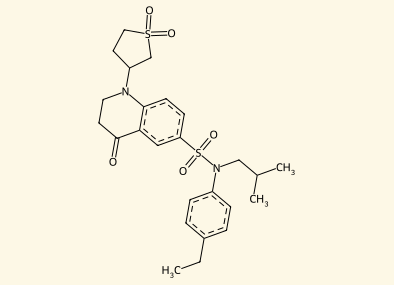 CCc1ccc(N(CC(C)C)S(=O)(=O)c2ccc3c(c2)C(=O)CCN3C2CCS(=O)(=O)C2)cc1